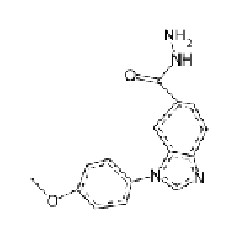 COc1ccc(-n2cnc3ccc(C(=O)NN)cc32)cc1